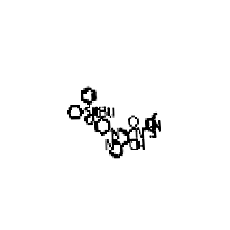 Cc1cc(NC(=O)c2cn([C@H]3CC[C@H](O[Si](c4ccccc4)(c4ccccc4)C(C)(C)C)CC3)c3ncccc3c2=O)sn1